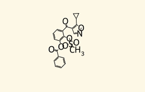 CS(=O)(=O)Oc1c(OC(=O)c2ccccc2)cccc1C(=O)c1cnoc1C1CC1